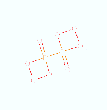 O=P1(P2(=O)OOO2)OOO1